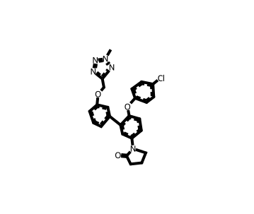 Cn1nnc(COc2cccc(-c3cc(N4CCCC4=O)ccc3Oc3ccc(Cl)cc3)c2)n1